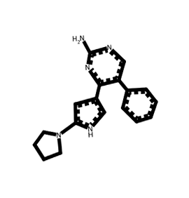 Nc1ncc(-c2ccccc2)c(-c2c[nH]c(N3CCCC3)c2)n1